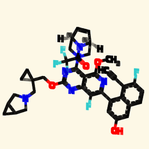 C#Cc1c(F)ccc2cc(O)cc(-c3nc(OC)c4c(N5C[C@H]6C=C[C@@H](C5)N6C(=O)C(F)(F)F)nc(OCC5(CN6CC7CC7C6)CC5)nc4c3F)c12